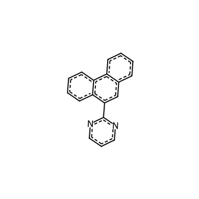 c1cnc(-c2cc3ccccc3c3ccccc23)nc1